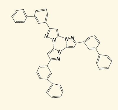 c1ccc(-c2cccc(-c3cc4n(n3)c3cc(-c5cccc(-c6ccccc6)c5)nn3c3cc(-c5cccc(-c6ccccc6)c5)nn43)c2)cc1